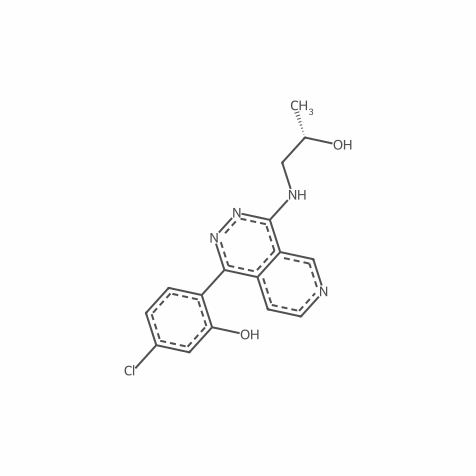 C[C@H](O)CNc1nnc(-c2ccc(Cl)cc2O)c2ccncc12